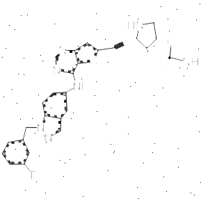 CCNC(=O)O[C@H]1CN[C@@H](C#Cc2cc3ncnc(Nc4ccc5c(cnn5Cc5cccc(F)c5)c4)c3s2)C1